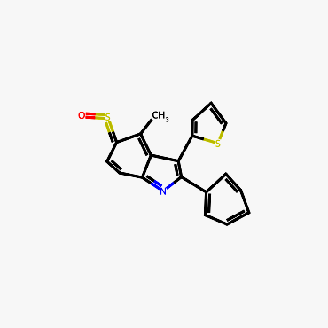 CC1=C2C(=NC(c3ccccc3)=C2c2cccs2)C=CC1=S=O